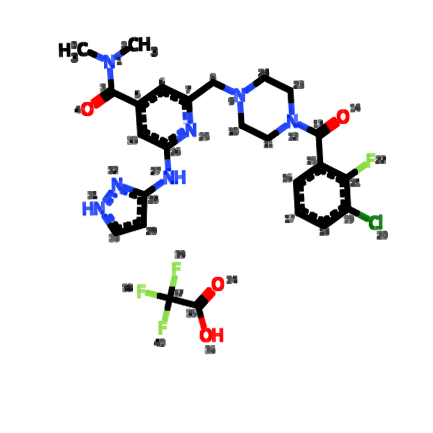 CN(C)C(=O)c1cc(CN2CCN(C(=O)c3cccc(Cl)c3F)CC2)nc(Nc2cc[nH]n2)c1.O=C(O)C(F)(F)F